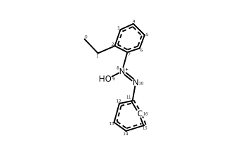 CCc1ccccc1[N+](O)=Nc1ccccc1